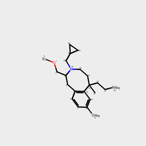 CCOCC1Cc2ccc(OC)cc2C(C)(CCNC)CCN1CC1CC1